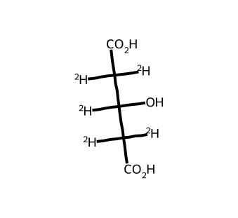 [2H]C([2H])(C(=O)O)C([2H])(O)C([2H])([2H])C(=O)O